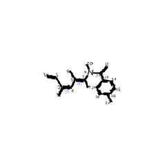 C=C/C(C)=C\C(C)=C(/C)N(C)C(=C)c1ccc(C)cc1